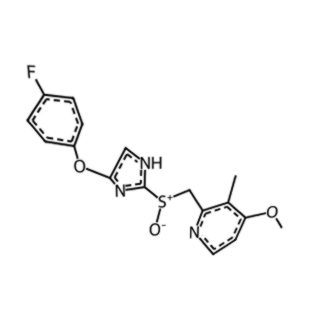 COc1ccnc(C[S+]([O-])c2nc(Oc3ccc(F)cc3)c[nH]2)c1C